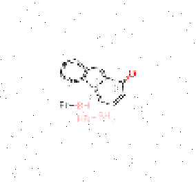 BBBCC.O=C1C=CC=C2C1=Cc1ccccc12